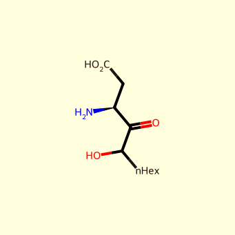 CCCCCCC(O)C(=O)[C@@H](N)CC(=O)O